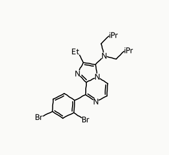 CCc1nc2c(-c3ccc(Br)cc3Br)nccn2c1N(CC(C)C)CC(C)C